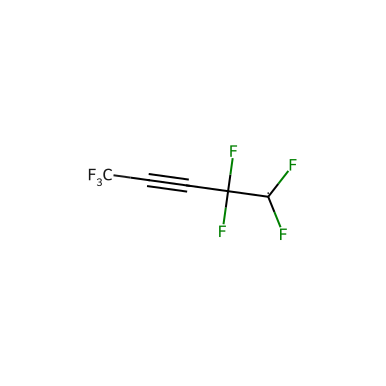 F[C](F)C(F)(F)C#CC(F)(F)F